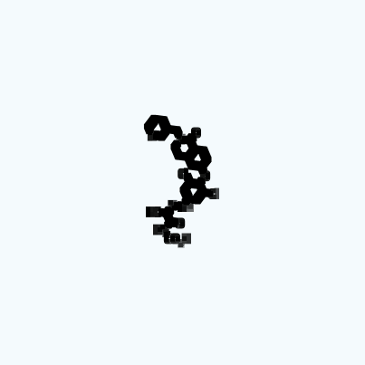 N#CC(=NNc1cc(Cl)c(Oc2ccc3c(c2)CCN(Cc2cccnc2)C3=O)c(Cl)c1)C(=O)NC(=O)O